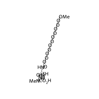 CN[C@@H](CNC(=O)[C@H](CCCCNC(=O)CCOCCOCCOCCOCCOCCOCCOCCOCCOCCOCCOCCOC)NS)C(=O)O